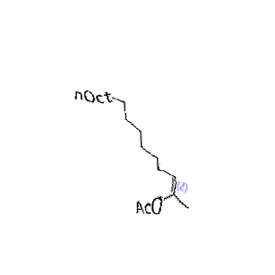 CCCCCCCCCCCCCC/C=C(/C)OC(C)=O